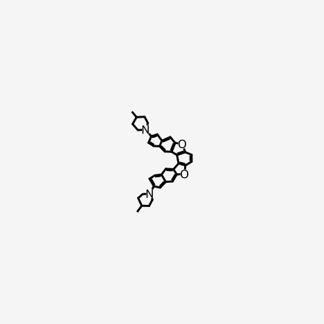 CC1CCN(c2ccc3cc4c(cc3c2)oc2ccc3oc5cc6cc(N7CCC(C)CC7)ccc6cc5c3c24)CC1